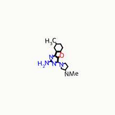 CN[C@@H]1CCN(c2nc(N)nc3c4c(oc23)CCC(C)C4)C1